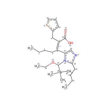 CCCC/C(=C(\Cc1cccs1)C(=O)O)c1cnc(CCCC)n1C(OCC)[Si](C)(C)C